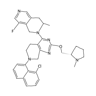 CC1Cc2cncc(F)c2CN1c1nc(OC[C@@H]2CCCN2C)nc2c1CCN(c1cccc3cccc(Cl)c13)C2